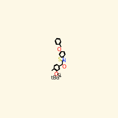 Cc1ccc(C(=O)c2nc3ccc(OCc4ccccc4)cc3s2)cc1O[Si](C)(C)C(C)(C)C